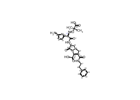 CC(C)(O/N=C(\C(=O)N[C@H]1CN2CC(C(=O)NCCc3ccccc3)=C(C(=O)O)N2C1=O)c1csc(N)n1)C(=O)O